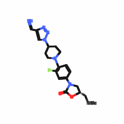 CC(=O)NC[C@H]1CN(c2ccc(N3CCC(n4cc(C=N)nn4)CC3)c(F)c2)C(=O)O1